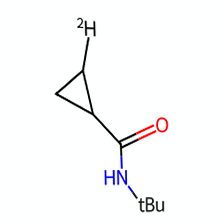 [2H]C1CC1C(=O)NC(C)(C)C